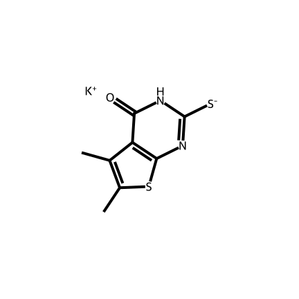 Cc1sc2nc([S-])[nH]c(=O)c2c1C.[K+]